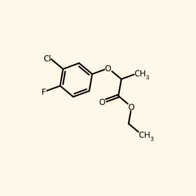 CCOC(=O)C(C)Oc1ccc(F)c(Cl)c1